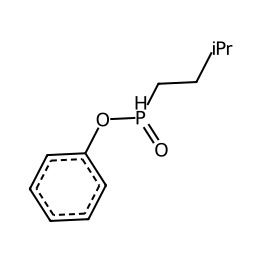 CC(C)CC[PH](=O)Oc1ccccc1